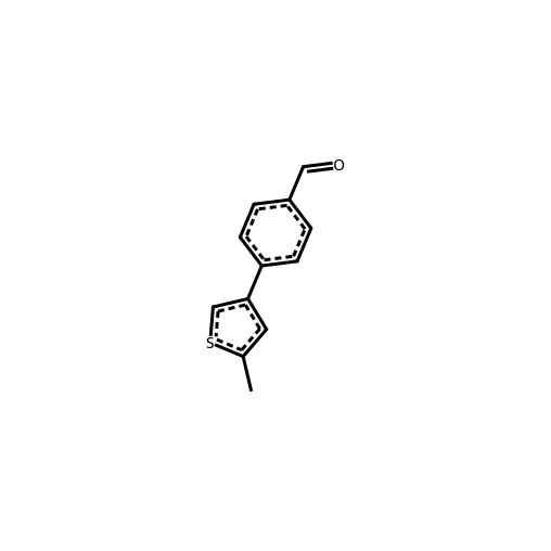 Cc1cc(-c2ccc(C=O)cc2)cs1